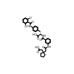 O=C(O)CC1(CC(=O)Nc2cccc(C(=O)N[C@@H](Cc3ccc(NC(=O)c4c(Cl)cccc4Cl)cc3)C(=O)O)c2)CCCC1